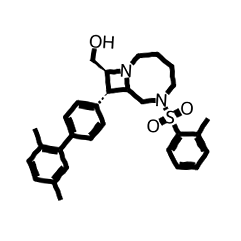 Cc1ccc(C)c(-c2ccc([C@H]3C4CN(S(=O)(=O)c5ccccc5C)CCCCN4[C@@H]3CO)cc2)c1